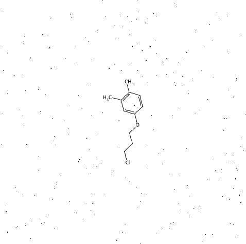 Cc1ccc(OCCCCl)cc1C